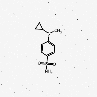 CN(c1ccc(S(N)(=O)=O)cc1)C1CC1